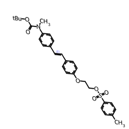 Cc1ccc(S(=O)(=O)OCCOc2ccc(/C=C/c3ccc(N(C)C(=O)OC(C)(C)C)cc3)cc2)cc1